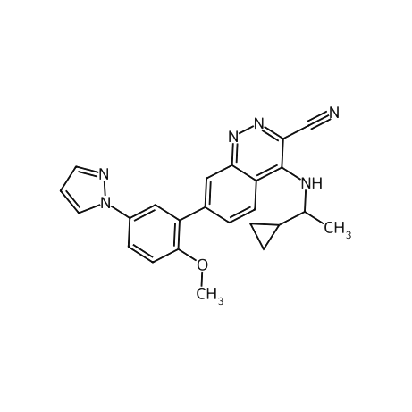 COc1ccc(-n2cccn2)cc1-c1ccc2c(NC(C)C3CC3)c(C#N)nnc2c1